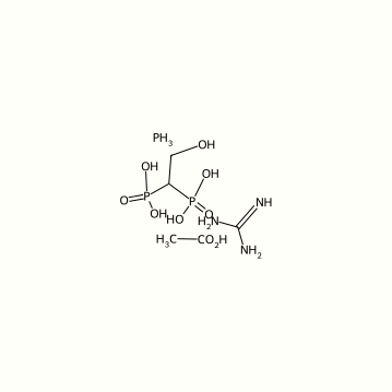 CC(=O)O.N=C(N)N.O=P(O)(O)C(CO)P(=O)(O)O.P